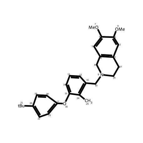 COc1cc2c(cc1OC)CN(Cc1cccc(Oc3ccc(C(C)(C)C)cc3)c1C)CC2